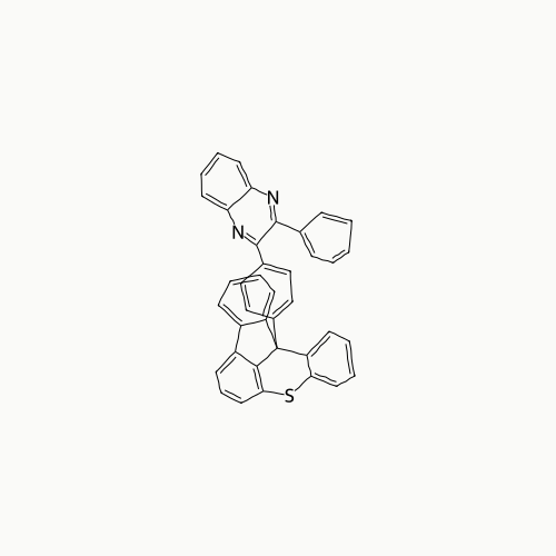 c1ccc(-c2nc3ccccc3nc2-c2ccc(C34c5ccccc5Sc5cccc(c53)-c3ccccc34)cc2)cc1